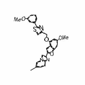 COc1cccc(-c2nc(COc3cc(OC)cc4oc(-c5cn6cc(C)ccc6n5)cc34)cs2)c1